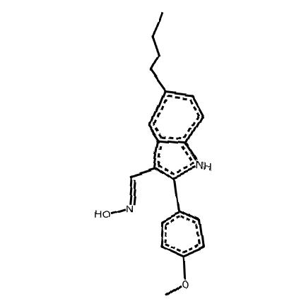 CCCCc1ccc2[nH]c(-c3ccc(OC)cc3)c(C=NO)c2c1